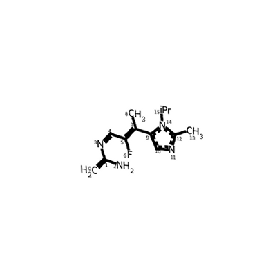 C=C(N)/N=C\C(F)=C(/C)c1cnc(C)n1C(C)C